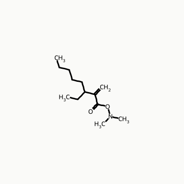 C=C(C(=O)ON(C)C)C(CC)CCCCC